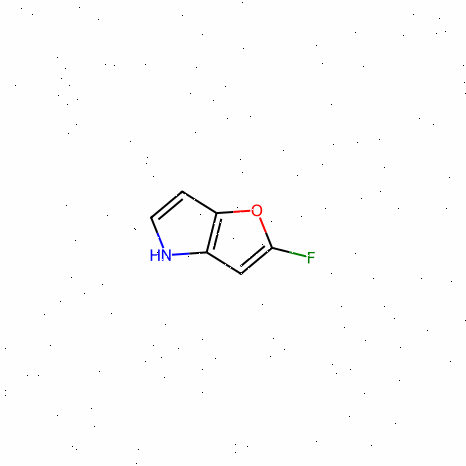 Fc1cc2[nH]ccc2o1